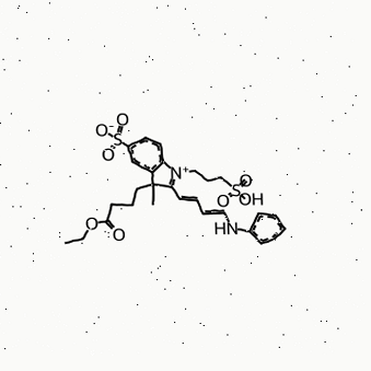 CCOC(=O)CCCC1(C)C(C=CC=CNc2ccccc2)=[N+](CCCS(=O)(=O)O)c2ccc(S(=O)(=O)[O-])cc21